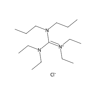 CCCN(CCC)C(N(CC)CC)=[N+](CC)CC.[Cl-]